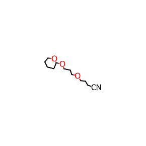 N#CCCCOCCCOC1CCCCO1